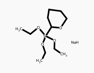 CCO[Si](OCC)(OCC)C1CCCCO1.[NaH]